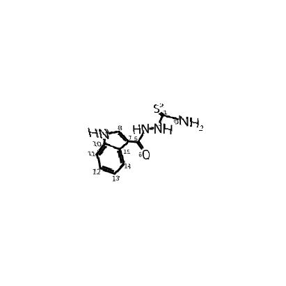 NC(=S)NNC(=O)c1c[nH]c2ccccc12